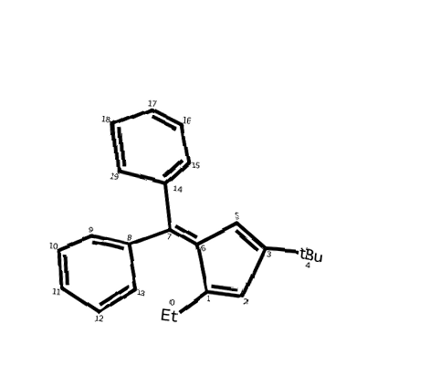 CCC1=CC(C(C)(C)C)=CC1=C(c1ccccc1)c1ccccc1